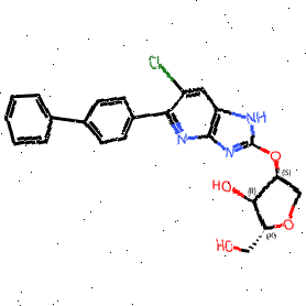 OC[C@H]1OC[C@H](Oc2nc3nc(-c4ccc(-c5ccccc5)cc4)c(Cl)cc3[nH]2)[C@@H]1O